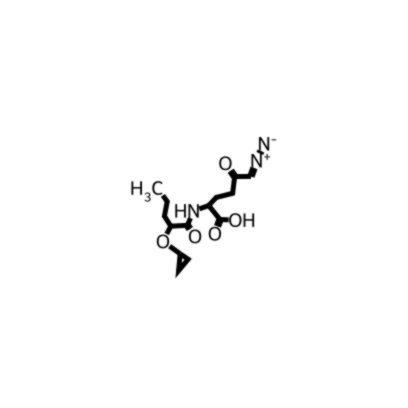 CCCC(OC1CC1)C(=O)NC(CCC(=O)C=[N+]=[N-])C(=O)O